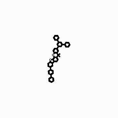 CC1(C)c2cc(-c3cc(-c4ccccc4)cc(-c4ccccc4)c3)ccc2Oc2c1ccc1c2oc2ccc(-c3ccc(-c4ccccc4)cc3)cc21